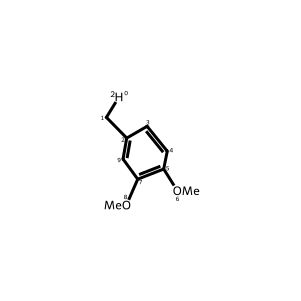 [2H]Cc1ccc(OC)c(OC)c1